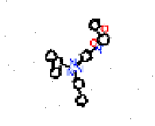 c1ccc(-c2ccc(-c3nc(-c4ccc(-c5nc6ccc7oc8ccccc8c7c6o5)cc4)nc(-c4cc5ccccc5c5ccccc45)n3)cc2)cc1